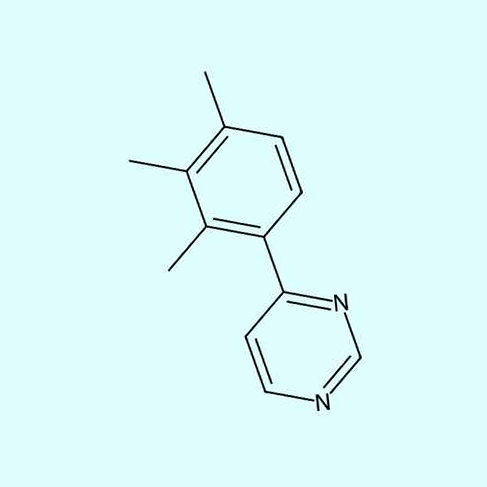 Cc1ccc(-c2ccncn2)c(C)c1C